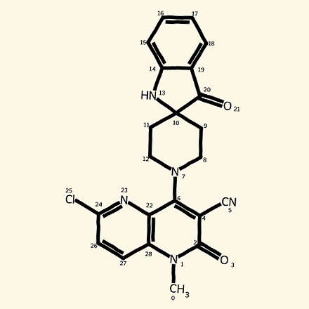 Cn1c(=O)c(C#N)c(N2CCC3(CC2)Nc2ccccc2C3=O)c2nc(Cl)ccc21